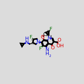 COc1c(N2C[C@@H](CNC3CC3)[C@H](F)C2)c(F)c(N)c2c(=O)c(C(=O)O)cn([C@@H]3C[C@@H]3F)c12